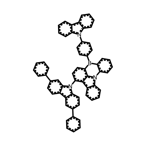 c1ccc(-c2ccc3c(c2)c2ccc(-c4ccccc4)cc2n3-c2ccc3c4c2c2ccccc2n4-c2ccccc2B3c2ccc(-n3c4ccccc4c4ccccc43)cc2)cc1